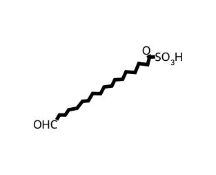 O=CCCCCCCCCCCCCCCCCC(=O)S(=O)(=O)O